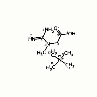 CN(CC(=O)O)C(=N)N.C[N+](C)(C)C